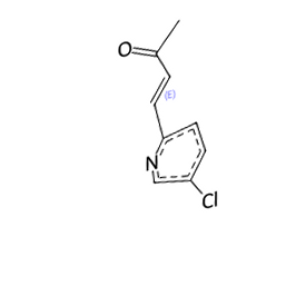 CC(=O)/C=C/c1ccc(Cl)cn1